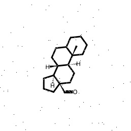 C[C@]12CCCCC1CC[C@H]1[C@@H]3CCC[C@@]3(C=O)CC[C@@H]12